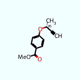 C#C[C@@H](C)Oc1ccc(C(=O)OC)cc1